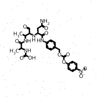 CC(NC(=O)O)C(=O)NC(C)C(C=O)NC(CC(N)=O)C(=O)Nc1ccc(COC(=O)Oc2ccc([N+](=O)[O-])cc2)cc1